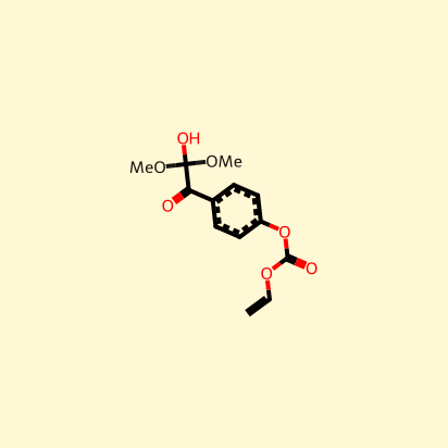 C=COC(=O)Oc1ccc(C(=O)C(O)(OC)OC)cc1